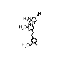 C=Cc1cc(CCC2=NC(=C)N3CC4(N)C[C@H](C#N)CN4C3=C2)ccc1F